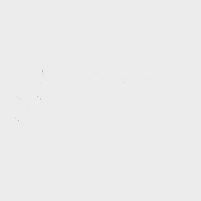 C[C@@]1(COc2ccc(-c3coc(-c4ccc(OC(F)(F)F)cc4)n3)cc2)Cn2cc([N+](=O)[O-])nc2O1